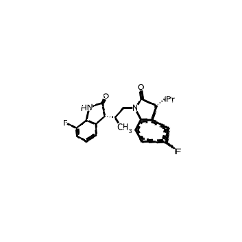 CC(CN1C(=O)[C@H](C(C)C)c2cc(F)ccc21)[C@H]1C(=O)NC2C(F)=CC=CC21